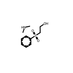 CNC.O=S(=O)(CCO)c1ccccc1